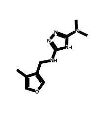 Cc1cocc1CNc1nnc(N(C)C)[nH]1